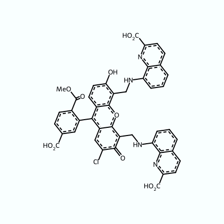 COC(=O)c1ccc(C(=O)O)cc1-c1c2cc(Cl)c(=O)c(CNc3cccc4ccc(C(=O)O)nc34)c-2oc2c(CNc3cccc4ccc(C(=O)O)nc34)c(O)ccc12